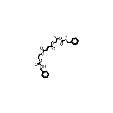 C[C@H](COC(=O)/C=C/C(=O)OC[C@@H](C)OC(=O)NCc1ccccc1)OC(=O)NCc1ccccc1